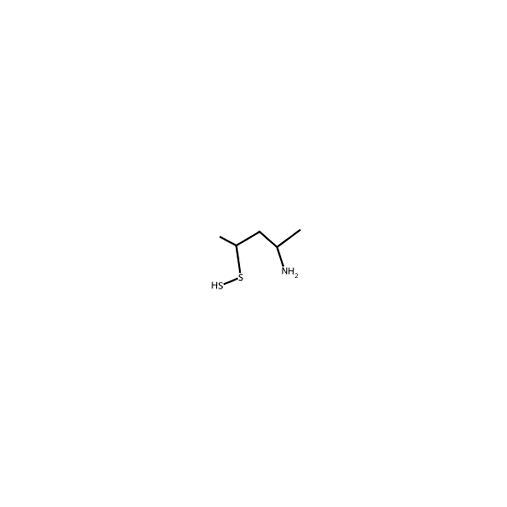 CC(N)CC(C)SS